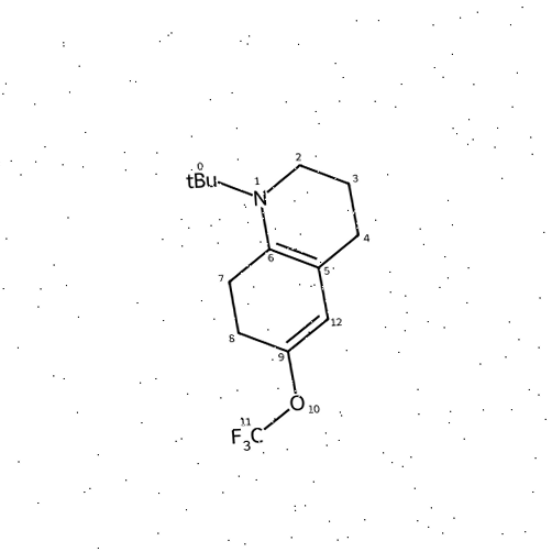 CC(C)(C)N1CCCC2=C1CCC(OC(F)(F)F)=C2